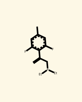 C=C(CP(CC)CC)c1c(F)cc(C)cc1F